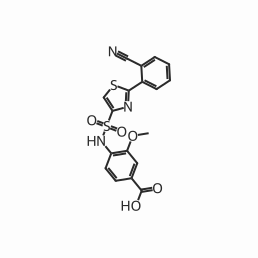 COc1cc(C(=O)O)ccc1NS(=O)(=O)c1csc(-c2ccccc2C#N)n1